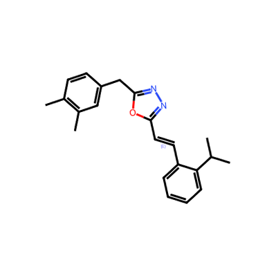 Cc1ccc(Cc2nnc(/C=C/c3ccccc3C(C)C)o2)cc1C